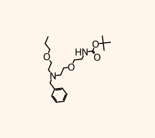 CCCOCCN(CCOCCNC(=O)OC(C)(C)C)Cc1ccccc1